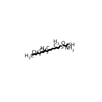 CC(C)=CCC/C(C)=C/CC/C(C)=C/CC/C(C)=C/CSC(=O)[C@@H](N)CS